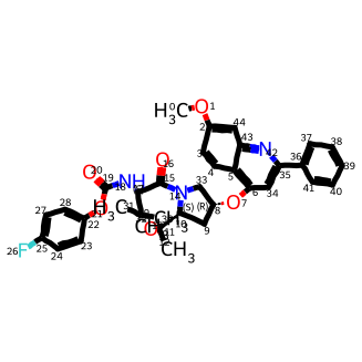 COc1ccc2c(O[C@@H]3C[C@@H](C(C)=O)N(C(=O)[C@@H](NC(=O)Oc4ccc(F)cc4)C(C)(C)C)C3)cc(-c3ccccc3)nc2c1